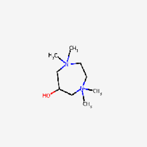 C[N+]1(C)CC[N+](C)(C)CC(O)C1